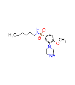 CCCCCCNS(=O)(=O)c1ccc(OC)c(N2CCNCC2)c1